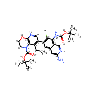 CCc1c(-c2cc3cc(N)ncc3c(NC(=O)OC(C)(C)C)c2F)cnc2c1N(C(=O)OC(C)(C)C)CCO2